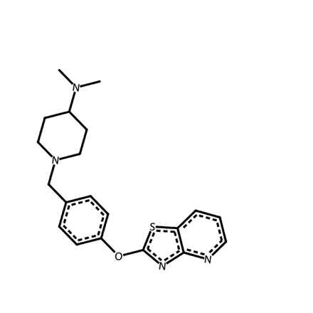 CN(C)C1CCN(Cc2ccc(Oc3nc4ncccc4s3)cc2)CC1